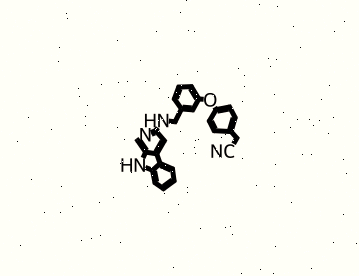 N#CCc1ccc(Oc2cccc(CNc3cc4c(cn3)[nH]c3ccccc34)c2)cc1